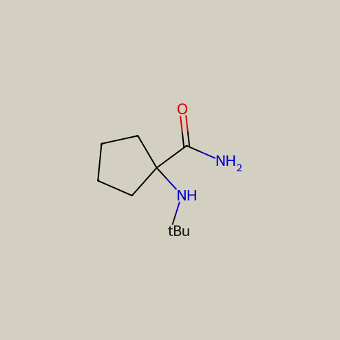 CC(C)(C)NC1(C(N)=O)CCCC1